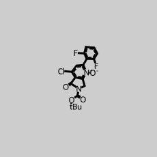 CC(C)(C)OC(=O)N1Cc2c(c(Cl)cc(-c3c(F)cccc3F)[n+]2[O-])C1=O